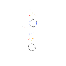 CCS(=O)(=O)c1cnc(CNS(=O)(=O)c2cccc(Cl)c2)c(OC)n1